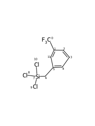 FC(F)(F)c1cccc(C[Si](Cl)(Cl)Cl)c1